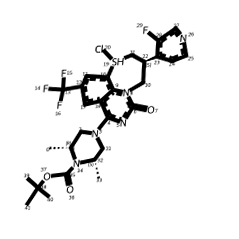 C[C@@H]1CN(c2nc(=O)n3c4c(cc(C(F)(F)F)cc24)[SH](Cl)C[C@@H](c2ccncc2F)C3)C[C@H](C)N1C(=O)OC(C)(C)C